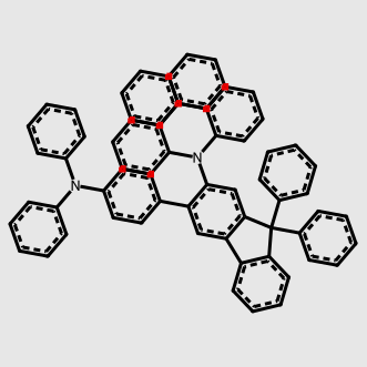 c1ccc(-c2ccccc2N(c2ccccc2-c2ccccc2)c2cc3c(cc2-c2ccc(N(c4ccccc4)c4ccccc4)cc2)-c2ccccc2C3(c2ccccc2)c2ccccc2)cc1